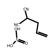 C=CCC(C#N)C#N.O=S(O)O